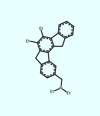 CCc1c(CC)c2c(c3c1Cc1ccc(CN(CC)CC)cc1-3)Cc1ccccc1-2